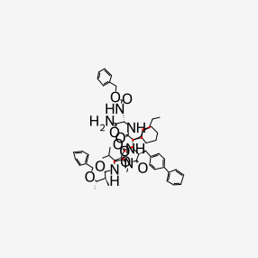 CCCCCC[C@@H](OC(=O)CNC(=O)[C@@H](C)[C@H](C)OCc1ccccc1)[C@@H](Cc1ccc(-c2ccccc2)cc1)C(=O)N(C)[C@@H](CC(C)C)C(=O)N[C@H](C(=O)N[C@@H](CNC(=O)OCc1ccccc1)C(N)=O)C1CCCCC1